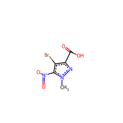 Cn1nc(C(=O)O)c(Br)c1[N+](=O)[O-]